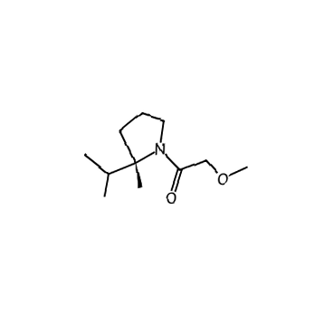 COCC(=O)N1CCC[C@@]1(C)C(C)C